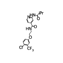 CC(C)C(=O)Nc1cc(C(=O)NCCOc2ccc(Cl)c(C(F)(F)F)c2)ccn1